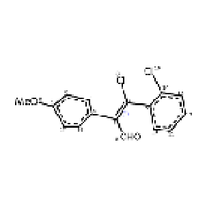 COc1ccc(/C(C=O)=C(\Cl)c2ccccc2Cl)cc1